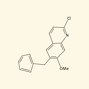 COc1cc2nc(Cl)ccc2cc1Cc1ccccc1